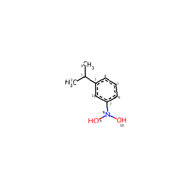 CC(C)c1cccc(N(O)O)c1